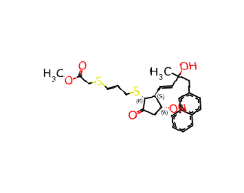 COC(=O)CSCCCS[C@H]1C(=O)C[C@@H](O)[C@@H]1C=CC(C)(O)Cc1ccc2ccccc2c1